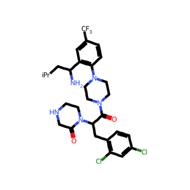 CC(C)CC(N)c1cc(C(F)(F)F)ccc1N1CCN(C(=O)C(Cc2ccc(Cl)cc2Cl)N2CCNCC2=O)CC1